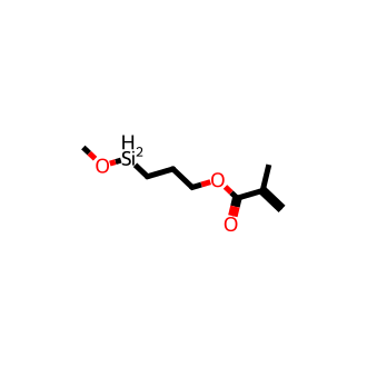 C=C(C)C(=O)OCCC[SiH2]OC